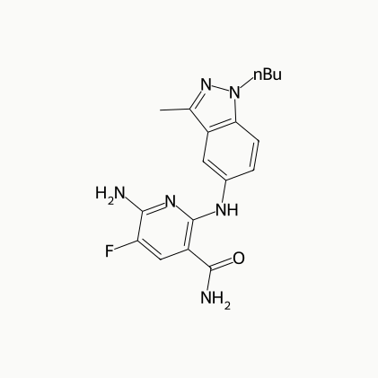 CCCCn1nc(C)c2cc(Nc3nc(N)c(F)cc3C(N)=O)ccc21